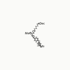 CCCCCCCCCCCCCCCCOCC(COCc1ccc(CN2[CH]N(CCC)C=C2)cc1)OC